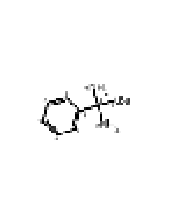 CC(C)(C)C(N)(N)c1ccccc1